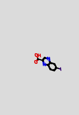 O=C(O)c1cnc2cc(I)ccc2n1